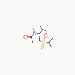 CC(=O)N(C)[C@H](CS(=O)(=O)C(C)C)C(C)C